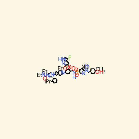 CCOc1nc2[nH]cc(F)c2cc1Oc1cc(N2CCC3(CC2)CC(N2CCN(C(=O)N(CC)CC)C[C@H]2c2ccccc2C(C)C)C3)ccc1C(=O)NS(=O)(=O)c1cnc(NCC2CCC(C)(O)CC2)c([N+](=O)[O-])c1